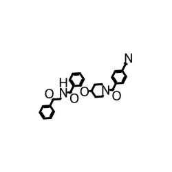 N#Cc1ccc(C(=O)N2CCC(Oc3ccccc3C(=O)NCC(=O)c3ccccc3)CC2)cc1